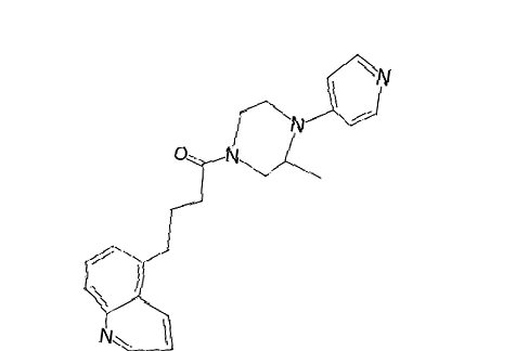 CC1CN(C(=O)CCCc2cccc3ncccc23)CCN1c1ccncc1